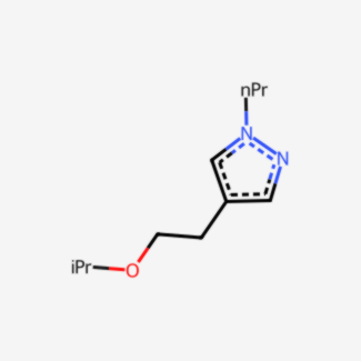 CCCn1cc(CCOC(C)C)cn1